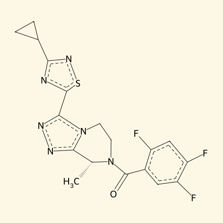 C[C@@H]1c2nnc(-c3nc(C4CC4)ns3)n2CCN1C(=O)c1cc(F)c(F)cc1F